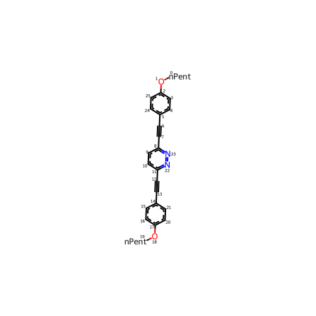 CCCCCOc1ccc(C#Cc2ccc(C#Cc3ccc(OCCCCC)cc3)nn2)cc1